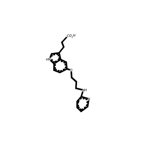 O=C(O)CCc1c[nH]c2ccc(OCCCNc3ccccn3)cc12